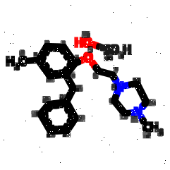 Cc1ccc(OCCN2CCN(C)CC2)c(Cc2ccccc2)c1.O=S(=O)(O)O